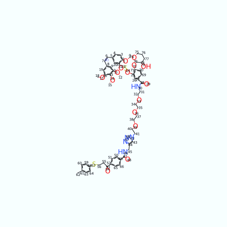 COc1ccc(/C=C\c2cc(OC)c(OC)c(OC)c2)cc1OSOc1cc(C(=O)NCCOCCOCCOCCn2cc(CNC(=O)c3ccc(C(=O)CCSc4ccc(C)cc4)cc3)nn2)ccc1OC1OCCCC1O